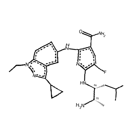 CCn1nc(C2CC2)c2cc(Nc3nc(N[C@H](CC(C)C)[C@H](C)N)c(F)cc3C(N)=O)ccc21